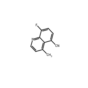 Cc1ccnc2c(F)ccc(C#N)c12